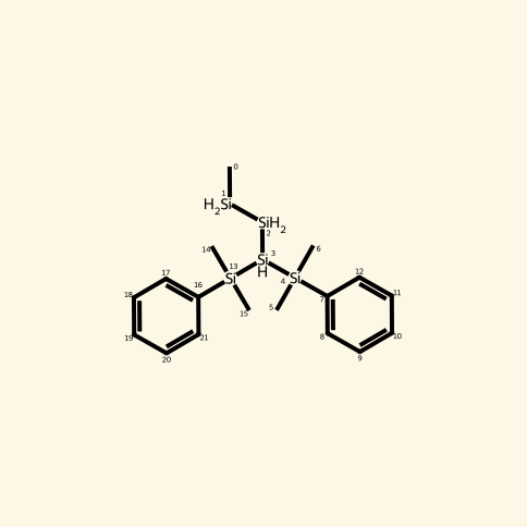 C[SiH2][SiH2][SiH]([Si](C)(C)c1ccccc1)[Si](C)(C)c1ccccc1